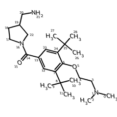 CN(C)CCOc1c(C(C)(C)C)cc(C(=O)N2CCC(CN)C2)cc1C(C)(C)C